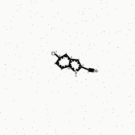 N#Cc1cc2cc(Cl)ccc2s1